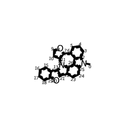 Cn1c2cccc3c4occc4n4c5c6ccccc6oc5c5ccc1c(c32)c54